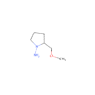 COCC1CCCN1N